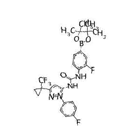 CC1(C)OB(c2ccc(NC(=O)Nc3cc(C4(C(F)(F)F)CC4)nn3-c3ccc(F)cc3)c(F)c2)OC1(C)C